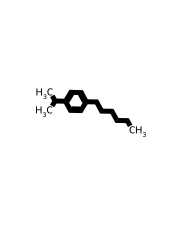 CCCCCCc1ccc(C(C)C)cc1